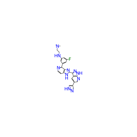 CN(C)CCNc1cc(F)cc(-c2nccc3[nH]c(-c4n[nH]c5ncc(-c6cn[nH]c6)cc45)nc23)c1